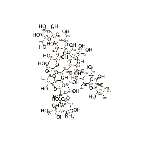 CC1C(O)[C@H](OC2OC(CO)[C@H](O)[C@H](O[C@]3(C(=O)O)C[C@@H](O)[C@@H](N)C([C@H](O)[C@H](O)CO)O3)C2O)[C@H](CO)O[C@H]1O[C@@H]1C(O)[C@H](O)C(CO)O[C@@H]1OCC[C@@H](O)C(O[C@H]1O[C@H](CO)[C@@H](O)C(O)C1O[C@@H]1OC(CO)[C@@H](O[C@@H]2OC(CO)[C@H](O)C(O)[C@@H]2O)C(O)[C@@H]1C)[C@@H](O)[C@@H](O)O[C@@H]1C(CO)O[C@@H](O[C@@H]2C(CO)O[C@@H](C)[C@@H](C)C2O)[C@@H](C)C1O